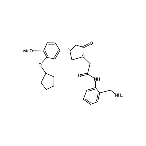 COc1ccc([C@@H]2CC(=O)N(CC(=O)Nc3ccccc3CN)C2)cc1OC1CCCC1